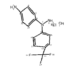 Cl.Cl.Nc1ccc(N(N)c2ccc(C(F)(F)F)cc2)cc1